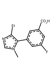 CCc1ncn(C)c1-c1cc(F)cc(C(=O)O)c1